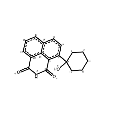 O=C1NC(=O)c2c(C3(O)CCCCC3)ccc3cccc1c23